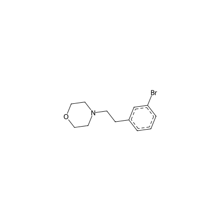 Brc1cccc(CCN2CCOCC2)c1